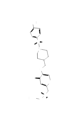 COS(=O)(=O)Cc1cc(=O)c(OCC2CCN(S(=O)(=O)c3ccc(C)cc3)CC2)co1